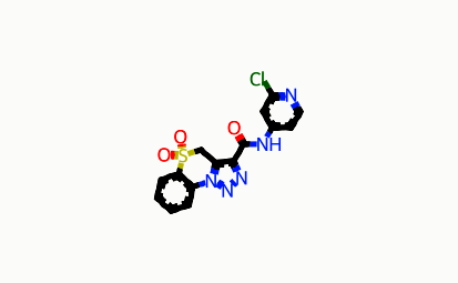 O=C(Nc1ccnc(Cl)c1)c1nnn2c1CS(=O)(=O)c1ccccc1-2